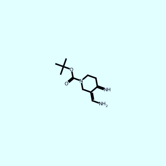 CC(C)(C)OC(=O)N1CCC(=N)/C(=C\N)C1